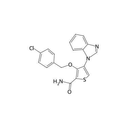 NC(=O)c1scc(-n2cnc3ccccc32)c1OCc1ccc(Cl)cc1